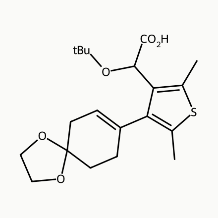 Cc1sc(C)c(C(OC(C)(C)C)C(=O)O)c1C1=CCC2(CC1)OCCO2